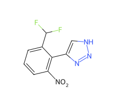 O=[N+]([O-])c1cccc(C(F)F)c1-c1c[nH]nn1